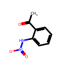 CC(=O)c1ccccc1N[N+](=O)[O-]